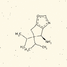 CC(C)C1(C(C)C)Cc2ocnc2[C@H]1N